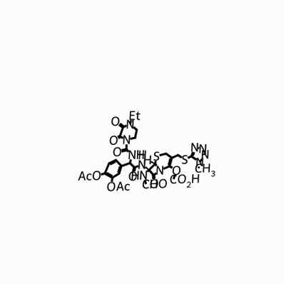 CCN1CCN(C(=O)NC(C(=O)N[C@]2(NC=O)C(=O)N3C(OC(=O)O)=C(CSc4nnnn4C)CS[C@H]32)c2ccc(OC(C)=O)c(OC(C)=O)c2)C(=O)C1=O